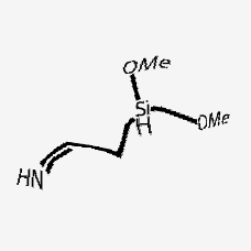 CO[SiH](CC=N)OC